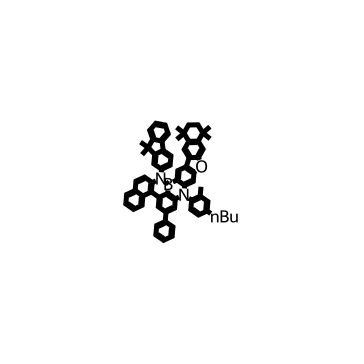 CCCCc1ccc(N2c3cc4oc5cc6c(cc5c4cc3B3c4c(cc(-c5ccccc5)cc42)-c2c(ccc4ccccc24)N3c2ccc3c(c2)C(C)(C)c2ccccc2-3)C(C)(C)CCC6(C)C)c(C)c1